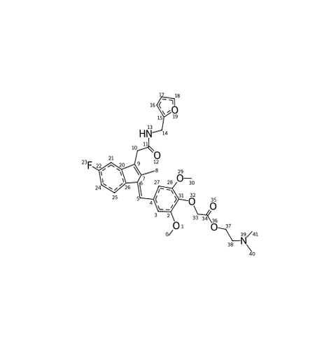 COc1cc(C=C2C(C)=C(CC(=O)NCc3ccco3)c3cc(F)ccc32)cc(OC)c1OCC(=O)OCCN(C)C